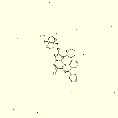 O[C@@H]1CO[C@H]2[C@@H]1OC[C@H]2Oc1nc2cc(Cl)c(N=C(c3ccccc3)c3ccccc3)nc2n1C1CCCCO1